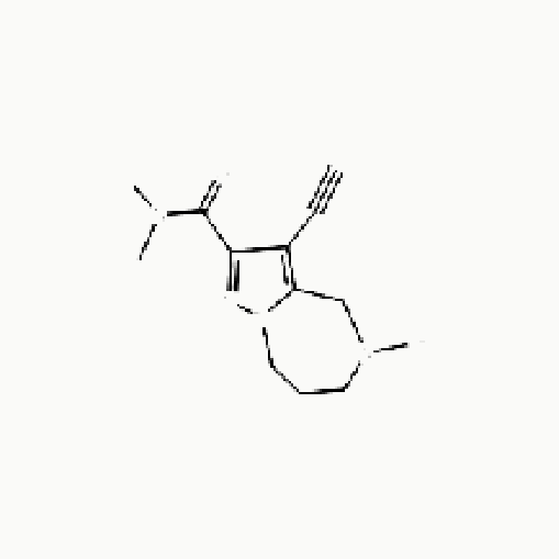 C#Cc1c(C(=O)N(C)C)nn2c1CN(CC)CCC2